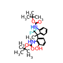 CC(C)(C)OC(=O)Nc1ccccc1C(C)(c1cccc(O)c1NC(=O)OC(C)(C)C)C(F)(F)F